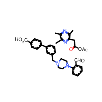 CC(=O)OC(=O)Cc1nc(C)c(C)nc1C.O=Cc1ccccc1N1CCN(Cc2cccc(-c3ccc(C(=O)O)cc3)c2)CC1